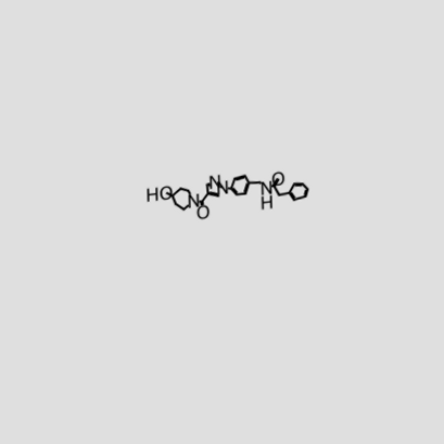 O=C(Cc1ccccc1)NCc1ccc(-n2cc(C(=O)N3CCC(O)CC3)cn2)cc1